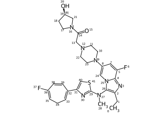 CCc1nc2c(F)cc(N3CCN(CC(=O)N4CC[C@@H](O)C4)CC3)cn2c1N(C)c1nc(C2=CCC=C(F)C=C2)cs1